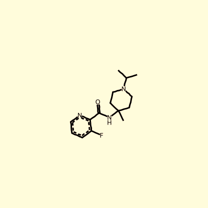 CC(C)N1CCC(C)(NC(=O)c2ncccc2F)CC1